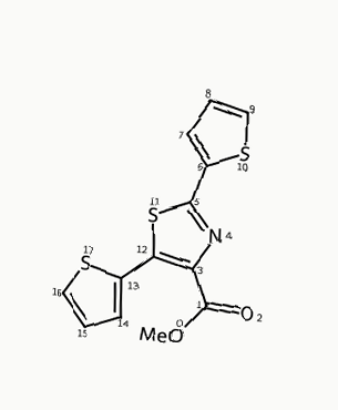 COC(=O)c1nc(-c2cccs2)sc1-c1cccs1